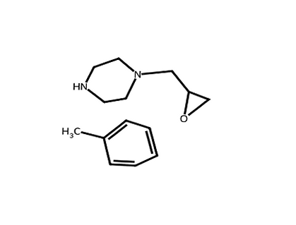 C1CN(CC2CO2)CCN1.Cc1ccccc1